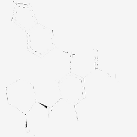 NC(=O)c1cc(F)c(N[C@@H]2CCCC[C@@H]2N)nc1Nc1ccn2cnnc2c1